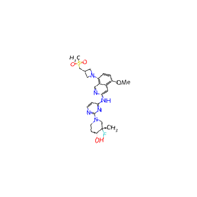 COc1ccc(N2CC(CS(C)(=O)=O)C2)c2cnc(Nc3ccnc(N4CC[C@@H](O)[C@@](C)(F)C4)n3)cc12